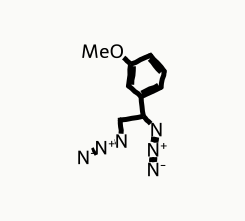 COc1cccc(C(CN=[N+]=[N-])N=[N+]=[N-])c1